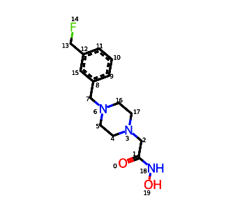 O=C(CN1CCN(Cc2cccc(CF)c2)CC1)NO